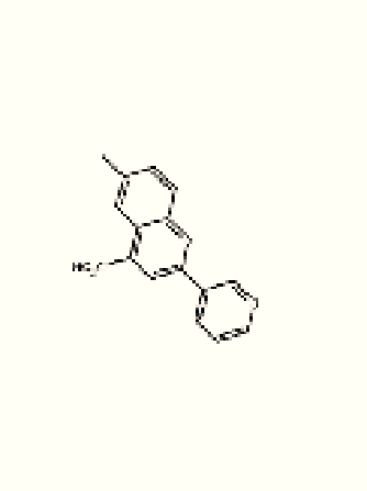 Cc1ccc2nc(-c3cccnc3)cc(C(=O)O)c2c1